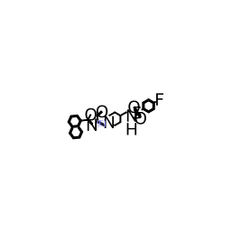 O=C1OC(c2cccc3ccccc23)=N/C1=C/N1CCC(CNS(=O)(=O)c2ccc(F)cc2)CC1